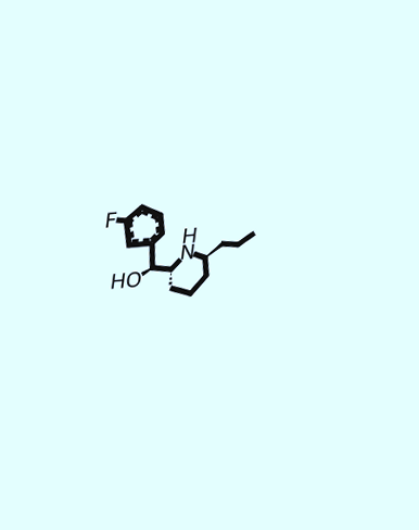 CCC[C@H]1CCC[C@H]([C@@H](O)c2cccc(F)c2)N1